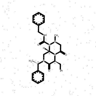 CC(C)C[C@H]1C(=O)N([C@@H](C)c2ccccc2)C[C@H]2N1C(=O)CN(C)N2C(=O)NCc1ccccc1